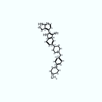 CC(C)c1c(-c2ccnc3[nH]ncc23)[nH]c2ccc(C3CCN(Cc4ccc(N5CCN(C)CC5)cc4)CC3)cc12